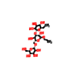 CCCO[C@H]1O[C@H](CO[C@H]2O[C@H](CO)[C@@H](O)[C@H](O)[C@@H]2O)[C@@H](O)[C@H](O[C@H]2O[C@H](CC)[C@@H](O)[C@H](O)[C@@H]2O)[C@@H]1O